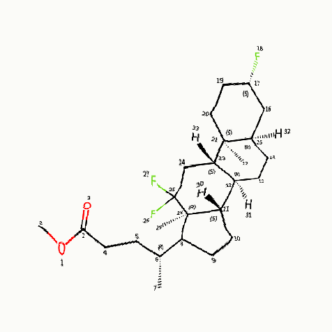 COC(=O)CC[C@@H](C)C1CC[C@H]2[C@@H]3CC[C@@H]4C[C@@H](F)CC[C@]4(C)[C@H]3CC(F)(F)[C@]12C